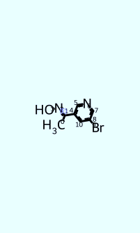 C/C(=N\O)c1cncc(Br)c1